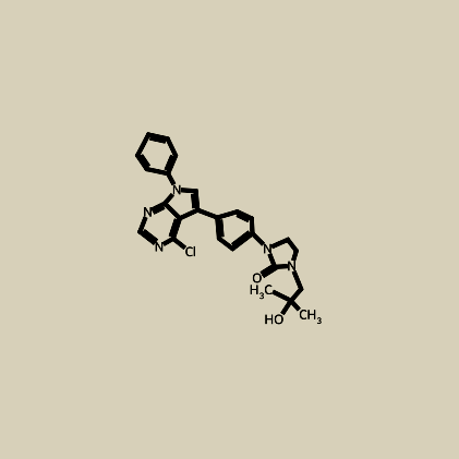 CC(C)(O)CN1CCN(c2ccc(-c3cn(-c4ccccc4)c4ncnc(Cl)c34)cc2)C1=O